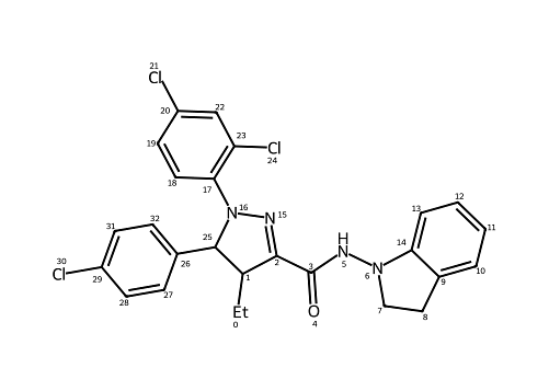 CCC1C(C(=O)NN2CCc3ccccc32)=NN(c2ccc(Cl)cc2Cl)C1c1ccc(Cl)cc1